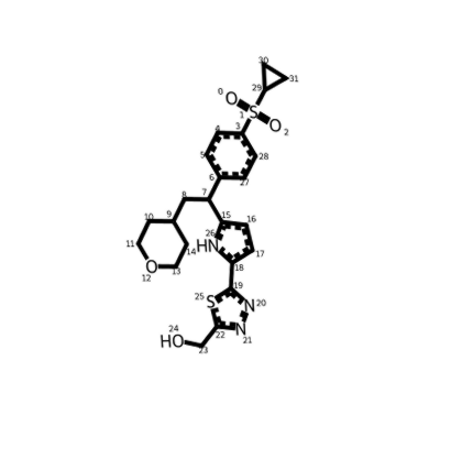 O=S(=O)(c1ccc(C(CC2CCOCC2)c2ccc(-c3nnc(CO)s3)[nH]2)cc1)C1CC1